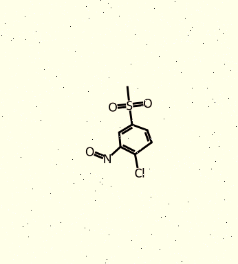 CS(=O)(=O)c1ccc(Cl)c(N=O)c1